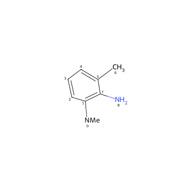 CNc1cccc(C)c1N